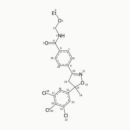 CCOCNC(=O)c1ccc(C2=NOC(C)(c3cc(Cl)c(Cl)c(Cl)c3)C2)cc1